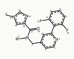 CC(C)N(Cc1ccnc(-c2c(F)cccc2F)c1)C(=O)c1cn(C)cn1